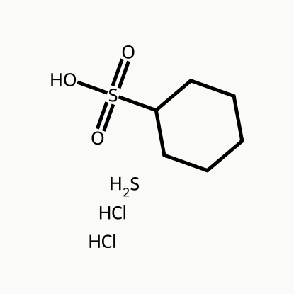 Cl.Cl.O=S(=O)(O)C1CCCCC1.S